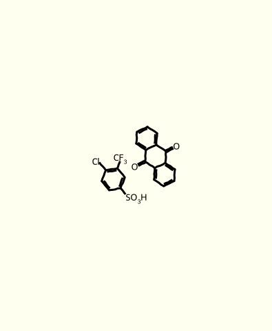 O=C1c2ccccc2C(=O)c2ccccc21.O=S(=O)(O)c1ccc(Cl)c(C(F)(F)F)c1